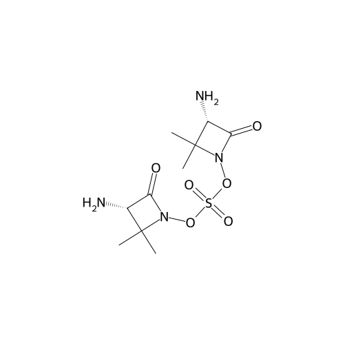 CC1(C)[C@H](N)C(=O)N1OS(=O)(=O)ON1C(=O)[C@@H](N)C1(C)C